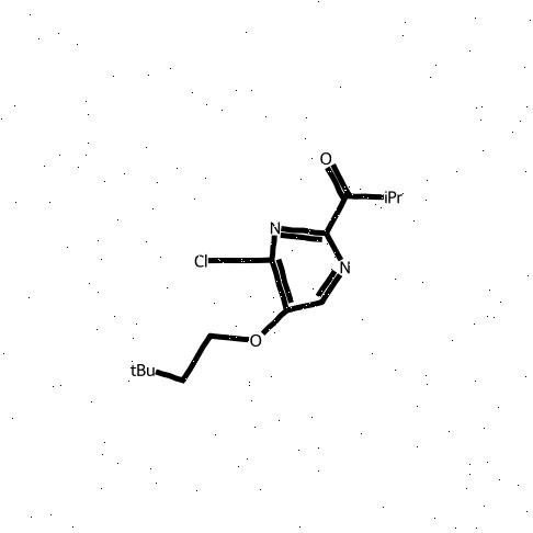 CC(C)C(=O)c1ncc(OCCC(C)(C)C)c(Cl)n1